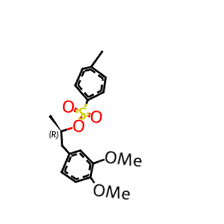 COc1ccc(C[C@@H](C)OS(=O)(=O)c2ccc(C)cc2)cc1OC